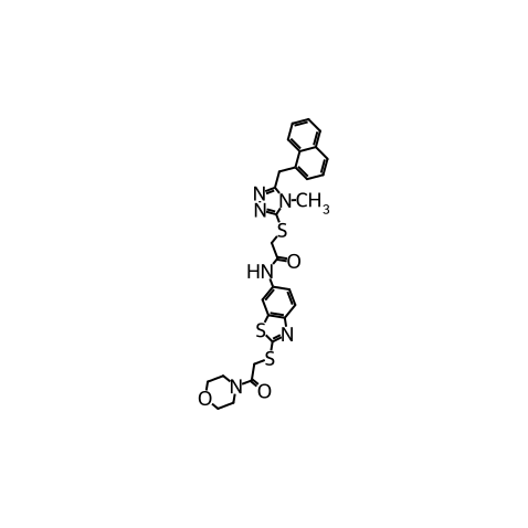 Cn1c(Cc2cccc3ccccc23)nnc1SCC(=O)Nc1ccc2nc(SCC(=O)N3CCOCC3)sc2c1